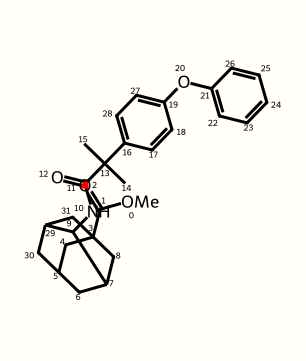 COC(=O)C12CC3CC(C1)C(NC(=O)C(C)(C)c1ccc(Oc4ccccc4)cc1)C(C3)C2